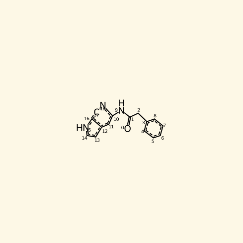 O=C(Cc1ccccc1)Nc1cc2cc[nH]c2cn1